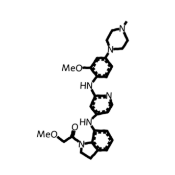 COCC(=O)N1CCc2cccc(Nc3ccnc(Nc4ccc(N5CCN(C)CC5)cc4OC)c3)c21